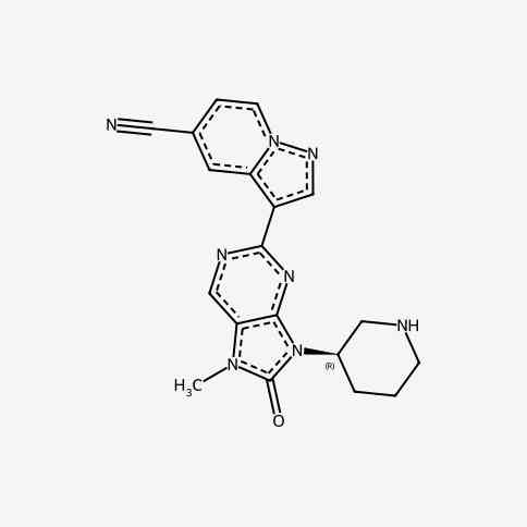 Cn1c(=O)n([C@@H]2CCCNC2)c2nc(-c3cnn4ccc(C#N)cc34)ncc21